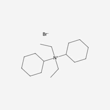 CC[N+](CC)(C1CCCCC1)C1CCCCC1.[Br-]